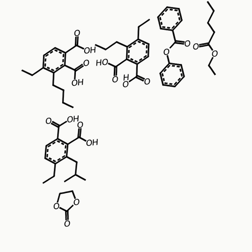 CCCCC(=O)OCC.CCCCc1c(CC)ccc(C(=O)O)c1C(=O)O.CCCc1c(CC)ccc(C(=O)O)c1C(=O)O.CCc1ccc(C(=O)O)c(C(=O)O)c1CC(C)C.O=C(Oc1ccccc1)c1ccccc1.O=C1OCCO1